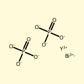 O=P([O-])([O-])[O-].O=P([O-])([O-])[O-].[Bi+3].[Y+3]